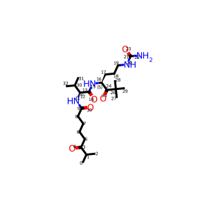 CC(C)C(=O)CCCCC(=O)N[C@H](C(=O)N[C@@H](CCCNC(N)=O)C(=O)C(C)(C)C)C(C)C